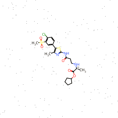 Cc1nc(NC(=O)CCN[C@@H](C)C(=O)OC2CCCC2)sc1-c1ccc(Cl)c(S(C)(=O)=O)c1